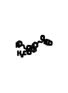 CC(Oc1ccc2cc(CCC(=O)N3CCOCC3)ccc2c1)C(O)CCc1cccnc1